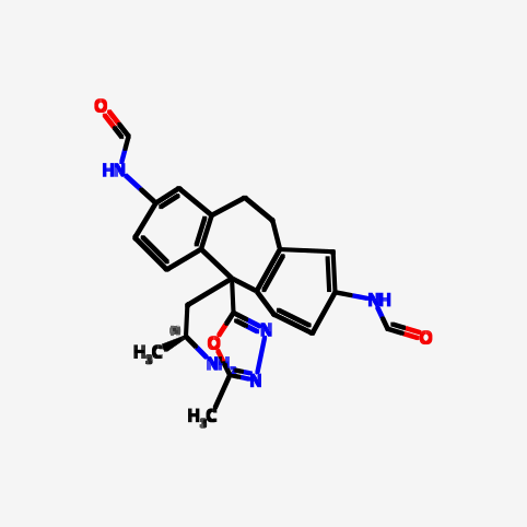 Cc1nnc(C2(C[C@H](C)N)c3ccc(NC=O)cc3CCc3cc(NC=O)ccc32)o1